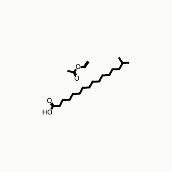 C=COC(C)=O.CC(C)CCCCCCCCCCCCCC(=O)O